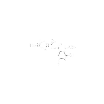 COc1c(Br)cc(F)cc1C(=O)CC(=S)N1CCN(C(C)(C)C)CC1